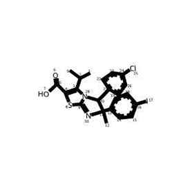 CC(C)C1=C(C(=O)O)SC2=NC(C)(c3ccc(I)cc3)C(c3ccc(Cl)cc3)N21